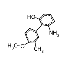 COc1ccc(-c2c(N)cccc2O)cc1C